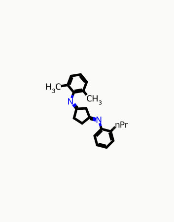 CCCc1ccccc1N=C1CCC(=Nc2c(C)cccc2C)C1